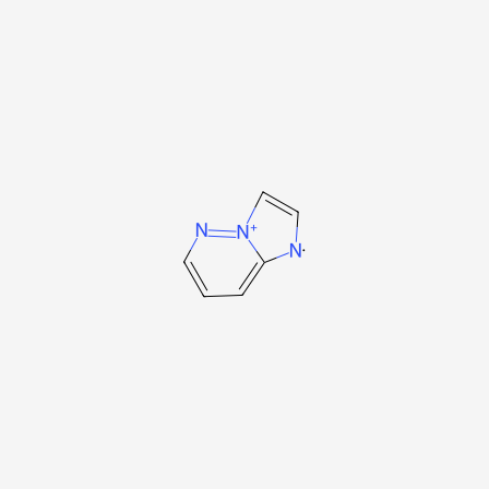 C1=C[n+]2ncccc2[N]1